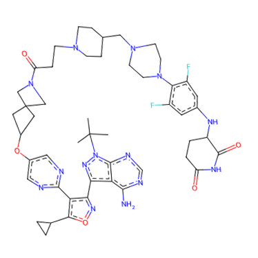 CC(C)(C)n1nc(-c2noc(C3CC3)c2-c2ncc(OC3CC4(C3)CN(C(=O)CCN3CCC(CN5CCN(c6c(F)cc(NC7CCC(=O)NC7=O)cc6F)CC5)CC3)C4)cn2)c2c(N)ncnc21